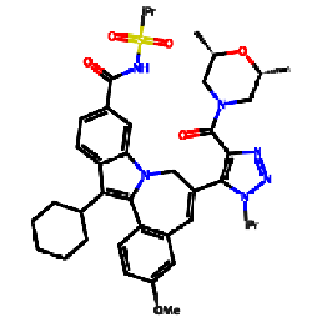 COc1ccc2c(c1)C=C(c1c(C(=O)N3C[C@@H](C)O[C@@H](C)C3)nnn1C(C)C)Cn1c-2c(C2CCCCC2)c2ccc(C(=O)NS(=O)(=O)C(C)C)cc21